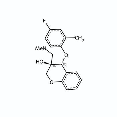 CNC[C@@]1(O)COc2ccccc2[C@H]1Oc1ccc(F)cc1C